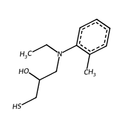 CCN(CC(O)CS)c1ccccc1C